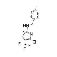 Cc1ccc(CNc2ncc(C(F)(F)F)c(Cl)n2)cc1